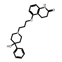 O=C1CCc2c(cccc2OCCCN2CCC(O)(c3ccccc3)CC2)N1